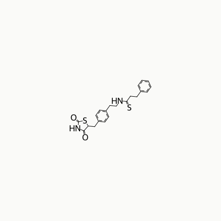 O=C1NC(=O)C(Cc2ccc(CCNC(=S)CCc3ccccc3)cc2)S1